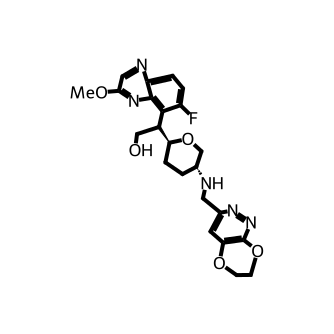 COc1cnc2ccc(F)c(C(CO)[C@@H]3CC[C@@H](NCc4cc5c(nn4)OCCO5)CO3)c2n1